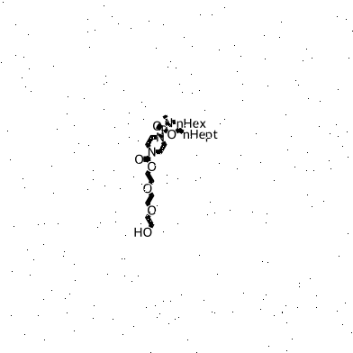 CCCCCCCC(CCCCCC)OP(=O)(N(C)C)N1CCN(C(=O)OCCOCCOCCO)CC1